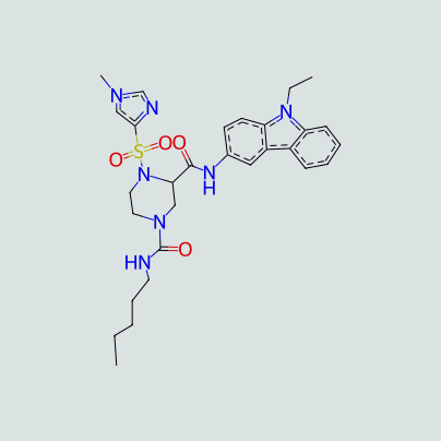 CCCCCNC(=O)N1CCN(S(=O)(=O)c2cn(C)cn2)C(C(=O)Nc2ccc3c(c2)c2ccccc2n3CC)C1